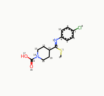 CS/C(=N\c1ccc(Cl)cc1)C1CCN(C(=O)O)CC1